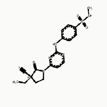 CC[C@]1(C#N)CCN(c2ccnc(Nc3ccc(S(=O)(=O)NC)cc3)n2)C1=O